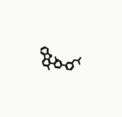 Cc1ccc2c(oc3ccccc32)c1-c1ccc(-c2cccc(CC(C)C)c2)c[n+]1C